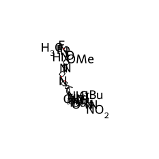 CC[C@H](C)[C@H](NC(=O)[C@H](CCCn1ccnc1[N+](=O)[O-])NC(=O)OC(C)(C)C)C(=O)NCCC1CC2(CCN(CC3CCC(n4cc5cc(NC(=O)c6cccc(C(C)(F)F)n6)c(OC)cc5n4)CC3)CC2)C1